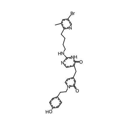 Cc1cc(Br)cnc1CCCCNc1ncc(Cc2ccn(CCc3ccc(O)cc3)c(=O)c2)c(=O)[nH]1